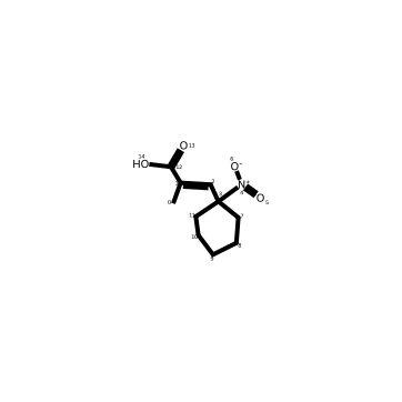 CC(=CC1([N+](=O)[O-])CCCCC1)C(=O)O